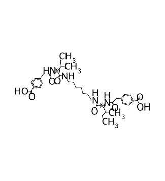 CCC(C)[C@H](NC(=O)Cc1ccc(C(=O)O)cc1)C(=O)NCCCCCCCNC(=O)[C@@H](NC(=O)Cc1ccc(C(=O)O)cc1)C(C)CC